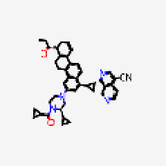 C=CC(=O)[C@@H]1CC=CC2=C1CCc1c2ccc2c(C3CC3)cc(N3CCN(C(=O)C4CC4)C(C4CC4)C3)cc12.N#Cc1cncc2cnccc12